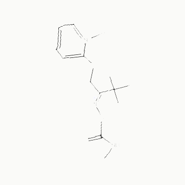 CNC(=O)O/N=C(/CSc1cccc[n+]1[O-])C(C)(C)C